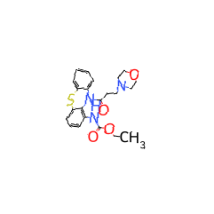 CCOC(=O)Nc1cccc2c1N(C(=O)CCN1CCOCC1)c1ccccc1S2